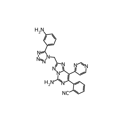 N#Cc1ccccc1-c1nc(N)n2nc(Cn3nnnc3-c3cccc(N)c3)nc2c1-c1ccncn1